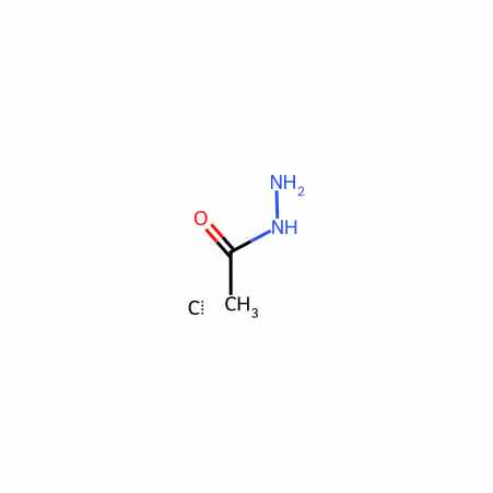 CC(=O)NN.[C]